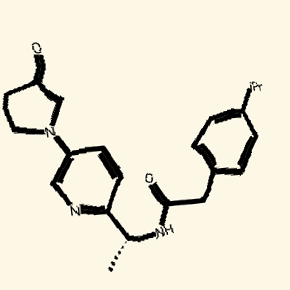 CC(C)c1ccc(CC(=O)N[C@H](C)c2ccc(N3CCC(=O)C3)cn2)cc1